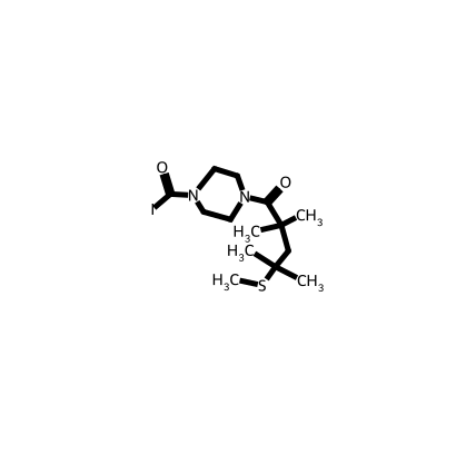 CSC(C)(C)CC(C)(C)C(=O)N1CCN(C(=O)I)CC1